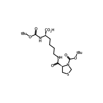 CC(C)(C)OC(=O)N[C@H](CCCCNC(=O)[C@@H]1CSCN1C(=O)OC(C)(C)C)C(=O)O